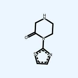 O=C1CNCCN1c1nccs1